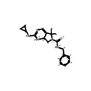 CC1(C)C2=CN=C(NC3CC3)NC2CN1C(=O)NCc1ccccc1